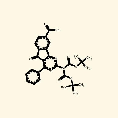 CC(C)(C)OC(=O)N(C(=O)OC(C)(C)C)c1nc(-c2ccccc2)c2c(n1)-c1cc(C(=O)O)ccc1C2=O